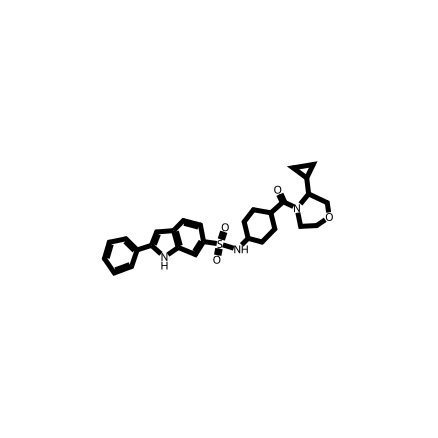 O=C(C1CCC(NS(=O)(=O)c2ccc3cc(-c4ccccc4)[nH]c3c2)CC1)N1CCOCC1C1CC1